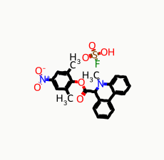 Cc1cc([N+](=O)[O-])cc(C)c1OC(=O)C1c2ccccc2-c2ccccc2N1C.O=S(=O)(O)F